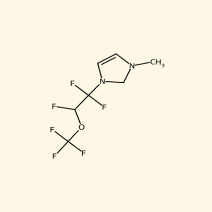 CN1C=CN(C(F)(F)C(F)OC(F)(F)F)C1